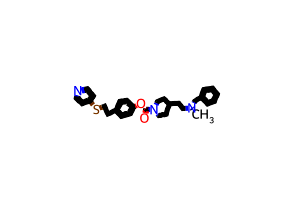 CN(CCC1CCN(C(=O)Oc2ccc(CCSc3ccncc3)cc2)CC1)Cc1ccccc1